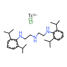 CC(C)c1cccc(C(C)C)c1NCCNCCNc1c(C(C)C)cccc1C(C)C.[Cl-].[Cl-].[Tc+2]